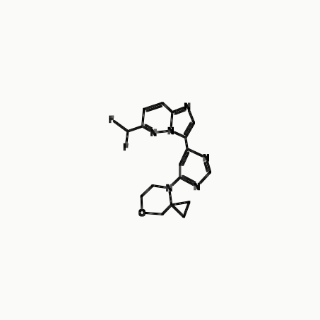 FC(F)c1ccc2ncc(-c3cc(N4CCOCC45CC5)ncn3)n2n1